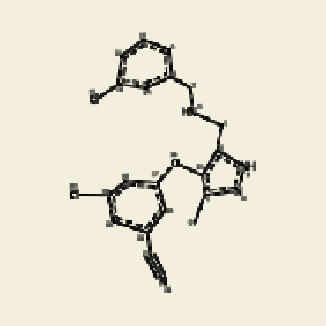 Cc1n[nH]c(CNCc2cccc(Cl)c2)c1Oc1cc(Cl)cc(C#N)c1